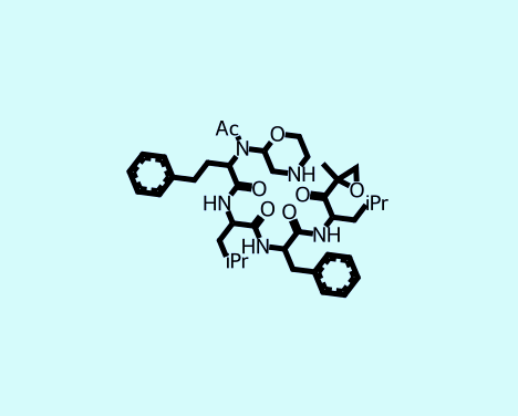 CC(=O)N(C1CNCCO1)C(CCc1ccccc1)C(=O)NC(CC(C)C)C(=O)NC(Cc1ccccc1)C(=O)NC(CC(C)C)C(=O)C1(C)CO1